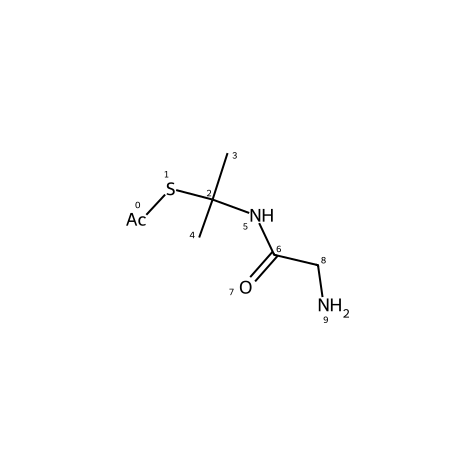 CC(=O)SC(C)(C)NC(=O)CN